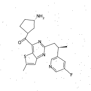 Cc1cc2nc(C[C@@H](C)c3cncc(F)c3)nc(C(=O)C3CC[C@H](N)C3)c2s1